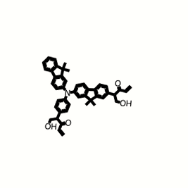 C=CC(=O)C(CO)c1ccc(N(c2ccc3c(c2)C(C)(C)c2ccccc2-3)c2ccc3c(c2)C(C)(C)c2cc(C(CO)C(=O)C=C)ccc2-3)cc1